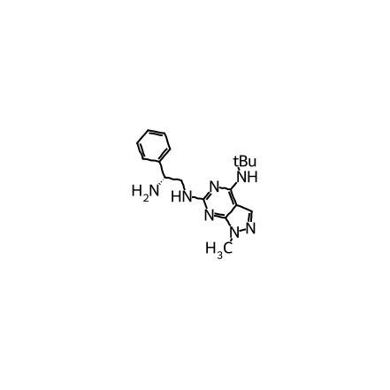 Cn1ncc2c(NC(C)(C)C)nc(NC[C@H](N)c3ccccc3)nc21